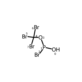 OP(Br)OC(Br)(Br)Br